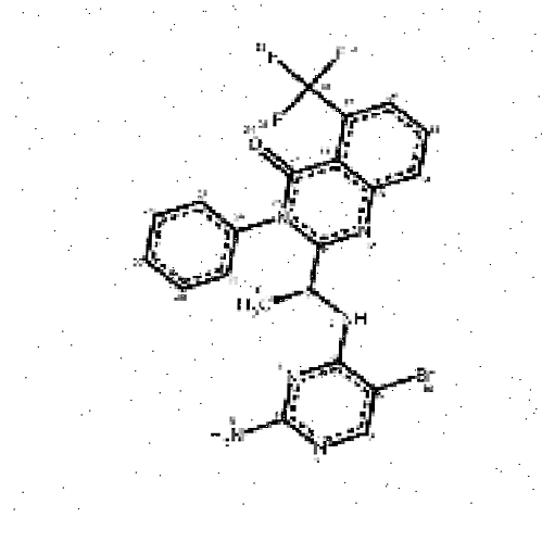 C[C@H](Nc1nc(N)ncc1Br)c1nc2cccc(C(F)(F)F)c2c(=O)n1-c1ccccc1